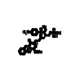 COC(=O)N[C@@H](Cc1ccccc1Br)C(=O)NCCCC[C@@H](COP(=O)(O)O)N(CC(C)C)S(=O)(=O)c1ccc(N)cc1